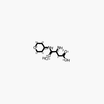 Cl.NC(CC(=O)O)C(=O)NC1CCOCC1